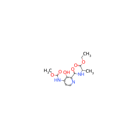 CCOC(=O)C(C)NC(=O)c1nccc(NC(=O)OC)c1O